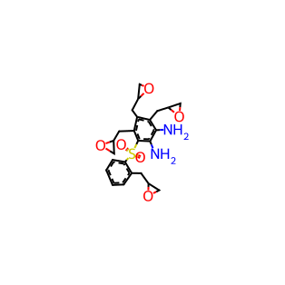 Nc1c(N)c(S(=O)(=O)c2ccccc2CC2CO2)c(CC2CO2)c(CC2CO2)c1CC1CO1